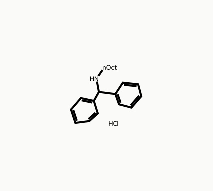 CCCCCCCCNC(c1ccccc1)c1ccccc1.Cl